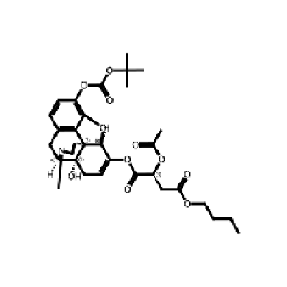 CCCCOC(=O)C[C@H](OC(C)=O)C(=O)OC1=CC[C@@]2(O)[C@H]3Cc4ccc(OC(=O)OC(C)(C)C)c5c4[C@@]2(CCN3C)[C@H]1O5